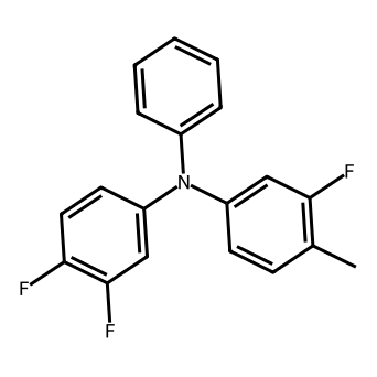 Cc1ccc(N(c2ccccc2)c2ccc(F)c(F)c2)cc1F